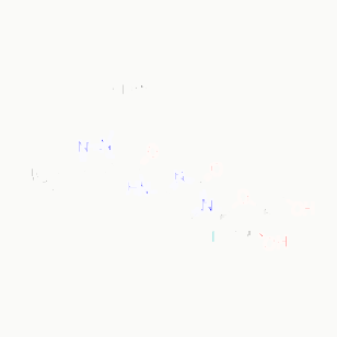 CCCCCCCCCCCCn1nc(C(=O)O)cc1C(=O)Nc1ccn([C@@H]2O[C@H](CO)[C@@H](O)C2(F)F)c(=O)n1